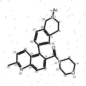 CC(=O)N1CCc2cc(-c3c(C(=O)N4CCOCC4)ccc4nc(C)ccc34)ccc2C1